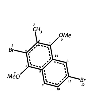 COc1c(C)c(Br)c(OC)c2ccc(Br)cc12